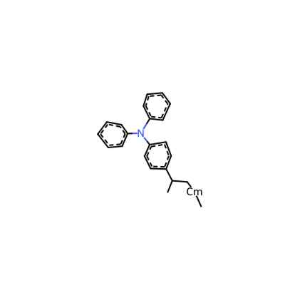 [CH3][Cm][CH2]C(C)c1ccc(N(c2ccccc2)c2ccccc2)cc1